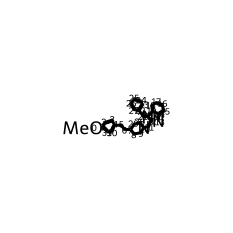 COc1ccc(CCC2CCN(Cc3nc4ccccc4n3Cc3ccccc3)CC2)cc1